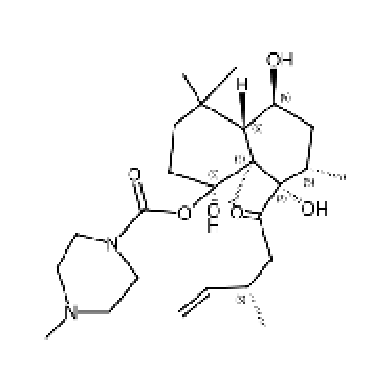 C=C[C@@H](C)CC(=O)[C@]1(O)[C@@H](C)C[C@H](O)[C@H]2C(C)(C)CC[C@](O)(OC(=O)N3CCN(C)CC3)[C@@]21C